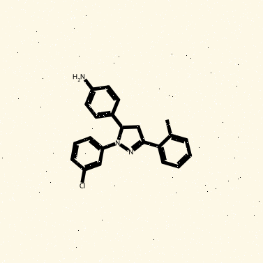 Cc1ccccc1C1=NN(c2cccc(Cl)c2)C(c2ccc(N)cc2)C1